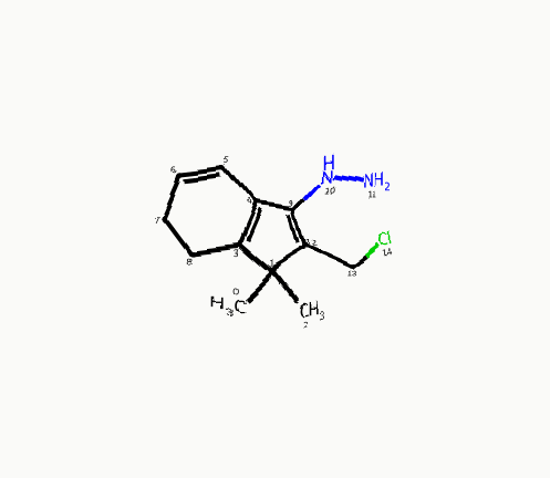 CC1(C)C2=C(C=CCC2)C(NN)=C1CCl